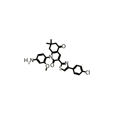 COc1cc(N)ccc1-n1c2c(cc(-c3nc(-c4ccc(Cl)cc4)cs3)c1=O)C(=O)CC(C)(C)C2